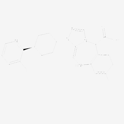 O=C(O)C1C2=C(C=C(F)CC2)NC=C2N1C=NN2[C@H]1CC[C@H](c2ncccc2F)CC1